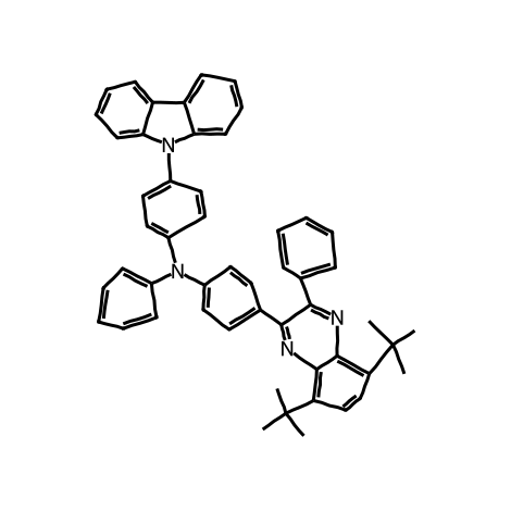 CC(C)(C)c1ccc(C(C)(C)C)c2nc(-c3ccc(N(c4ccccc4)c4ccc(-n5c6ccccc6c6ccccc65)cc4)cc3)c(-c3ccccc3)nc12